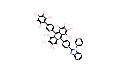 Bc1c(B)c(B)c(-c2ccc(-c3c4c(B)c(B)c(B)c(B)c4c(-c4ccc(-c5nc6ccccc6n5-c5ccccc5)cc4)c4c(B)c(B)c(B)c(B)c34)cc2)c(B)c1B